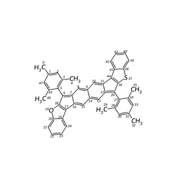 Cc1cc(C)c(C2=c3cc4cc5c(cc4cc3-c3c2oc2ccccc32)=C(c2c(C)cc(C)cc2C)c2sc3ccccc3c2-5)c(C)c1